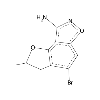 CC1Cc2c(Br)cc3onc(N)c3c2O1